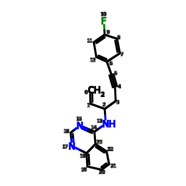 C=CC(CC#Cc1ccc(F)cc1)Nc1ncnc2ccccc12